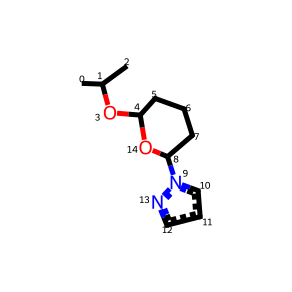 CC(C)OC1CCCC(n2cccn2)O1